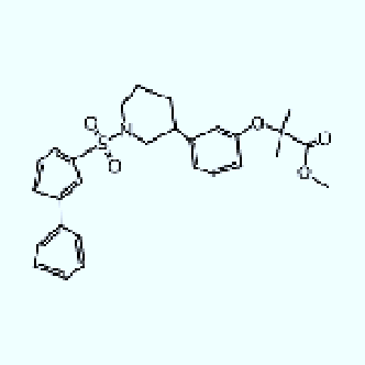 COC(=O)C(C)(C)Oc1cccc(C2CCCN(S(=O)(=O)c3cccc(-c4ccccc4)c3)C2)c1